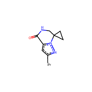 CC(C)c1cc2n(n1)C1(CC1)CNC2=O